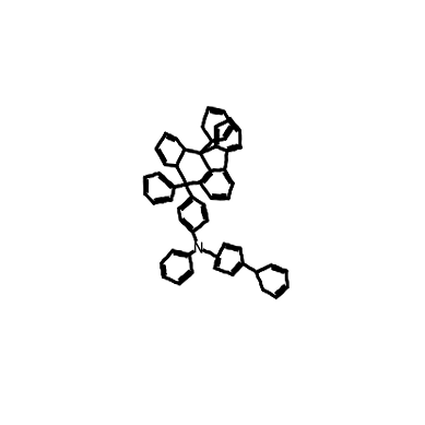 C1=CCC(c2ccc(N(c3ccccc3)c3ccc(C4(c5ccccc5)c5cccc6c5C(C5C=CC=CC5)(c5ccccc5-6)C5C=CC=CC54)cc3)cc2)C=C1